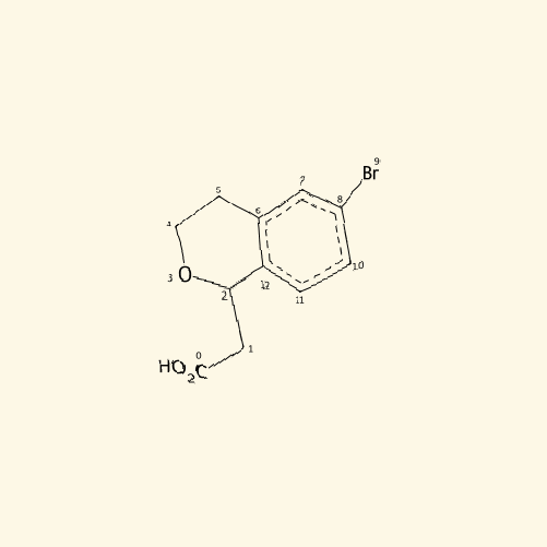 O=C(O)CC1OCCc2cc(Br)ccc21